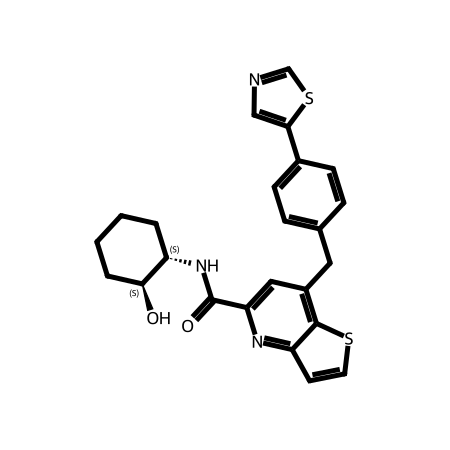 O=C(N[C@H]1CCCC[C@@H]1O)c1cc(Cc2ccc(-c3cncs3)cc2)c2sccc2n1